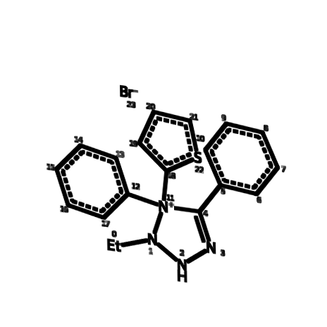 CCN1NN=C(c2ccccc2)[N+]1(c1ccccc1)c1cccs1.[Br-]